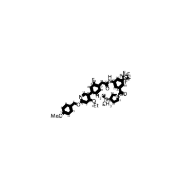 CCOc1cc(OCc2ccc(OC)cc2)ncc1-c1ccc(CC(=O)Nc2cc(C(=O)N3CC[C@@H](N(C)C)C3)cc(S(F)(F)(F)(F)F)c2)c(F)c1